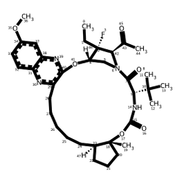 CC[C@]1(F)[C@@H]2CN(C(=O)[C@H](C(C)(C)C)NC(=O)O[C@]3(C)CCC[C@H]3CCCCCc3nc4ccc(OC)cc4nc3O2)[C@@H]1C(C)=O